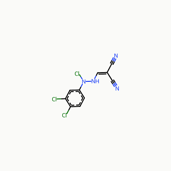 N#CC(C#N)=CNN(Cl)c1ccc(Cl)c(Cl)c1